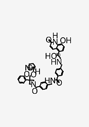 O=C(NCc1ccc(C(=O)N2CC(C(=O)O[C@H]3CN4CCC3CC4)(c3ccccc3)C2)cc1)c1ccc(CNC[C@H](O)c2ccc(O)c3[nH]c(=O)ccc23)cc1